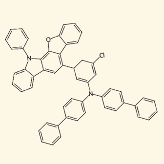 ClC1=CC(N(c2ccc(-c3ccccc3)cc2)c2ccc(-c3ccccc3)cc2)=CC(c2cc3c4ccccc4n(-c4ccccc4)c3c3oc4ccccc4c23)C1